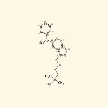 C[Si](C)(C)CCOCn1ccc2ccc(C(O)c3ccccn3)cc21